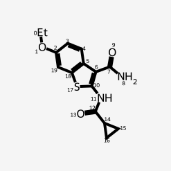 CCOc1ccc2c(C(N)=O)c(NC(=O)C3CC3)sc2c1